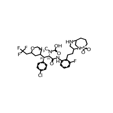 CN(C(=O)O)[C@H](C(=O)Nc1cccc(F)c1CCC1CNC2CCCS(=O)(=O)N1C2)[C@@H](c1ccc(Cl)cc1)C1CCOC(CC(F)(F)F)C1